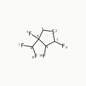 FC1SCC(F)(C(F)F)C1F